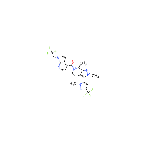 C[C@H]1c2nn(C)c(-c3cc(C(F)(F)F)nn3C)c2CCN1C(=O)c1ccnc2c1ccn2CC(F)(F)F